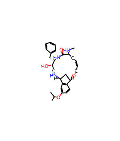 CN[C@H]1CC=CCO[C@@H]2C[C@H](NC[C@@H](O)[C@H](Cc3ccccc3)NC1=O)c1cc(OC(C)C)ccc12